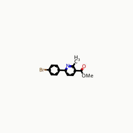 COC(=O)c1ccc(-c2ccc(Br)cc2)nc1C